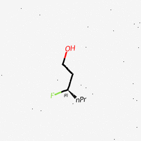 CCC[C@@H](F)CCO